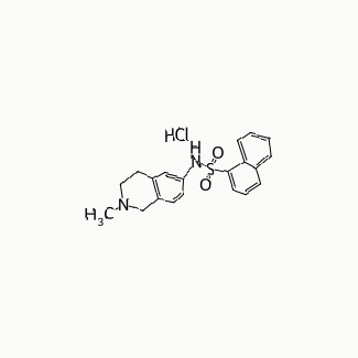 CN1CCc2cc(NS(=O)(=O)c3cccc4ccccc34)ccc2C1.Cl